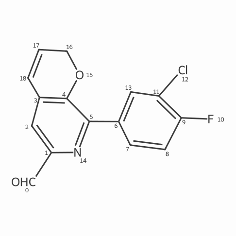 O=Cc1cc2c(c(-c3ccc(F)c(Cl)c3)n1)OCC=C2